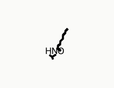 C=CC=CCC/C=C/C(=O)NCC(C)C